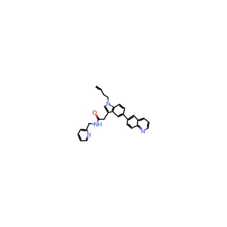 C=CCCn1cc(CC(=O)NCc2ccccn2)c2cc(-c3ccc4ncccc4c3)ccc21